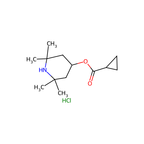 CC1(C)CC(OC(=O)C2CC2)CC(C)(C)N1.Cl